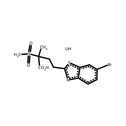 CC(CCc1nc2ccc(Br)cc2s1)(C(=O)O)S(C)(=O)=O.[LiH]